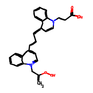 C=C(C[n+]1ccc(C=CC=C2C=CN(CCC(=O)O)c3ccccc32)c2ccccc21)OO